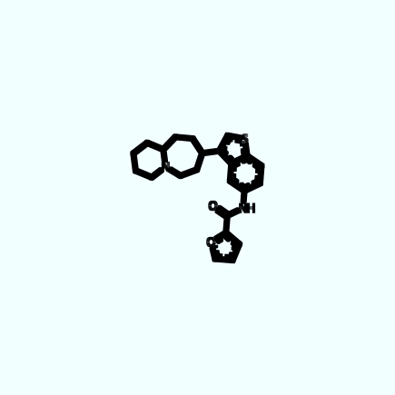 O=C(Nc1ccc2scc(C3CCC4CCCCN4CC3)c2c1)c1ccco1